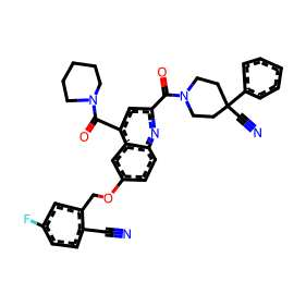 N#Cc1ccc(F)cc1COc1ccc2nc(C(=O)N3CCC(C#N)(c4ccccc4)CC3)cc(C(=O)N3CCCCC3)c2c1